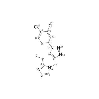 CCc1nccn1Cc1cn(C2C=C(Cl)C(Cl)=CC2)nn1